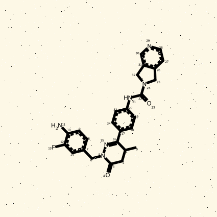 CC1CC(=O)N(Cc2ccc(N)c(F)c2)N=C1c1ccc(NC(=O)N2Cc3ccncc3C2)cc1